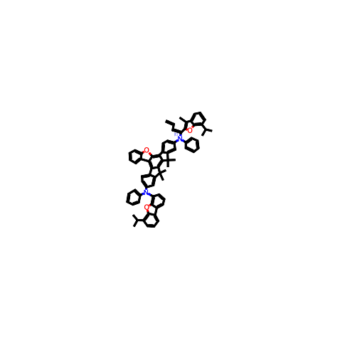 C=C/C=C(\c1oc2c(C(C)C)cccc2c1C)N(c1ccccc1)c1ccc2c(c1)C(C)(C)c1c3c(c4c(oc5ccccc54)c1-2)-c1ccc(N(c2ccccc2)c2cccc4c2oc2c(C(C)C)cccc24)cc1C3(C)C